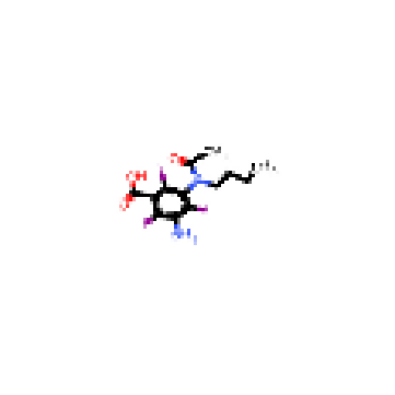 CCCCN(C(C)=O)c1c(I)c(N)c(I)c(C(=O)O)c1I